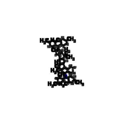 Cc1ccc(C(c2ccc3c(c2)C(C)(C)c2cc4c(cc2-3)C(C)(C)c2cc(N(c3ccc(C)cc3C)c3ccc(C)cc3C)c3ccccc3c2-4)c2ccc(C)cc2C)c(C)c1